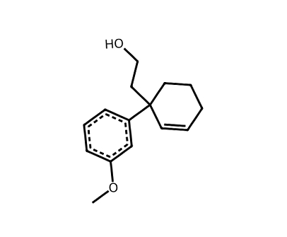 COc1cccc(C2(CCO)C=CCCC2)c1